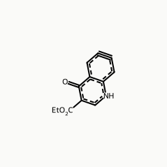 CCOC(=O)c1c[nH]c2cc#ccc2c1=O